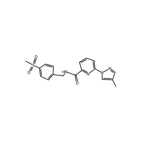 Cc1cnn(-c2cccc(C(=O)NCc3ccc(S(C)(=O)=O)cc3)n2)c1